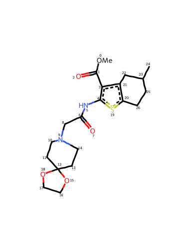 COC(=O)c1c(NC(=O)CN2CCC3(CC2)OCCO3)sc2c1CC(C)CC2